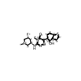 CN1C[C@H](F)C[C@@H](Nc2nnc(-c3ccc4sccc4c3O)c(=O)n2C)C1